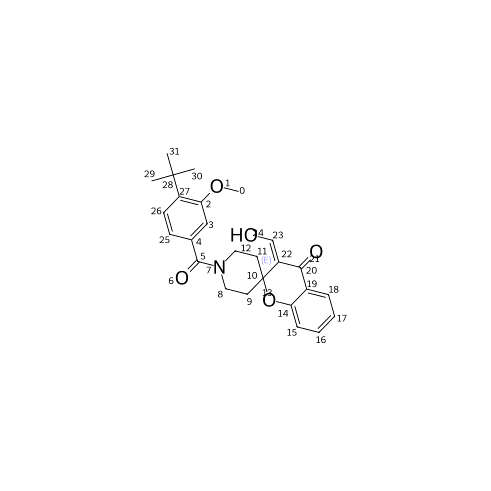 COc1cc(C(=O)N2CCC3(CC2)Oc2ccccc2C(=O)/C3=C/O)ccc1C(C)(C)C